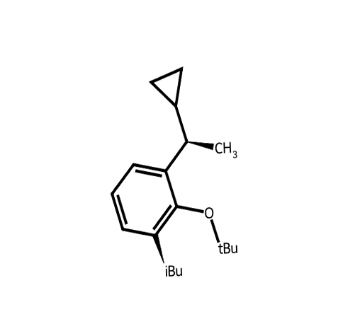 CC[C@H](C)c1cccc([C@H](C)C2CC2)c1OC(C)(C)C